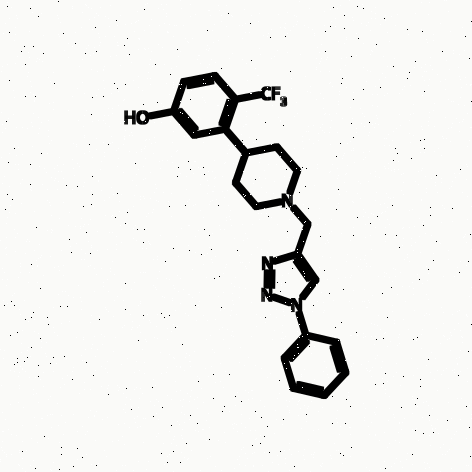 Oc1ccc(C(F)(F)F)c(C2CCN(Cc3cn(-c4ccccc4)nn3)CC2)c1